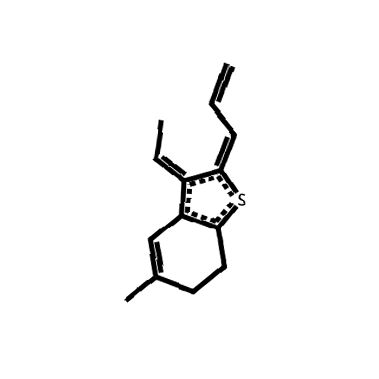 C=C/C=c1/sc2c(/c1=C/C)C=C(C)CC2